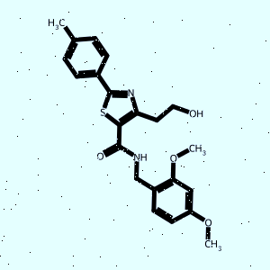 COc1ccc(CNC(=O)c2sc(-c3ccc(C)cc3)nc2CCO)c(OC)c1